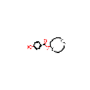 O=C(OC1CCCCCCCCCCC1)c1ccc(O)cc1